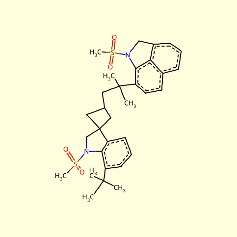 CC(C)(C)c1cccc2c1N(S(C)(=O)=O)CC21CC(CC(C)(C)c2ccc3cccc4c3c2N(S(C)(=O)=O)C4)C1